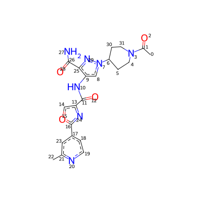 CC(=O)N1CCC(n2cc(NC(=O)c3coc(-c4ccnc(C)c4)n3)c(C(N)=O)n2)CC1